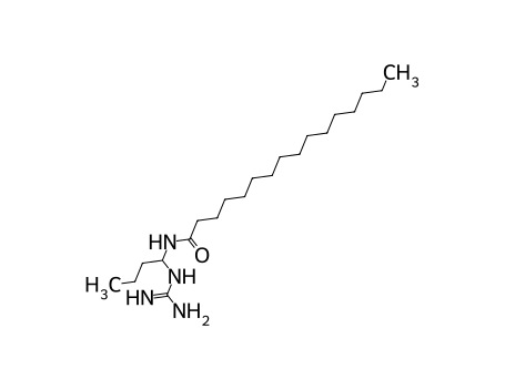 CCCCCCCCCCCCCCCC(=O)NC(CCC)NC(=N)N